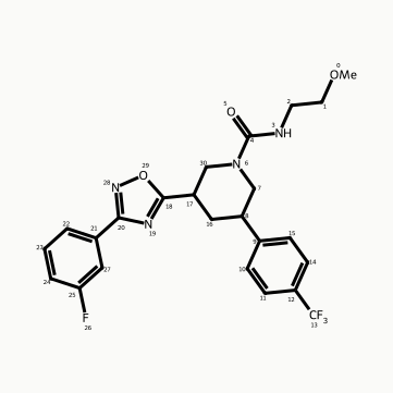 COCCNC(=O)N1CC(c2ccc(C(F)(F)F)cc2)CC(c2nc(-c3cccc(F)c3)no2)C1